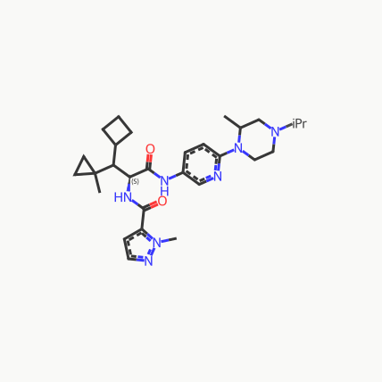 CC(C)N1CCN(c2ccc(NC(=O)[C@@H](NC(=O)c3ccnn3C)C(C3CCC3)C3(C)CC3)cn2)C(C)C1